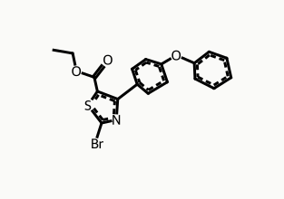 CCOC(=O)c1sc(Br)nc1-c1ccc(Oc2ccccc2)cc1